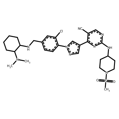 CN(C)C1CCCCC1NCc1ccc(-n2cc(-c3nc(NC4CCN(S(C)(=O)=O)CC4)ncc3C#N)cn2)c(Cl)c1